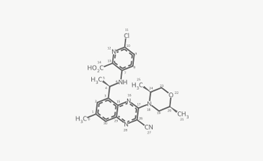 Cc1cc([C@@H](C)Nc2ccc(Cl)nc2C(=O)O)c2nc(N3C[C@H](C)OC[C@@H]3C)c(C#N)nc2c1